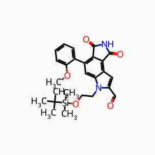 COc1ccccc1-c1cc2c(cc(C=O)n2CCO[Si](C)(C)C(C)(C)C)c2c1C(=O)NC2=O